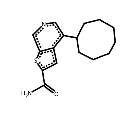 NC(=O)c1cc2c(C3CCCCCCC3)cncc2s1